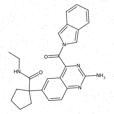 CCNC(=O)C1(c2ccc3nc(N)nc(C(=O)n4cc5ccccc5c4)c3c2)CCCC1